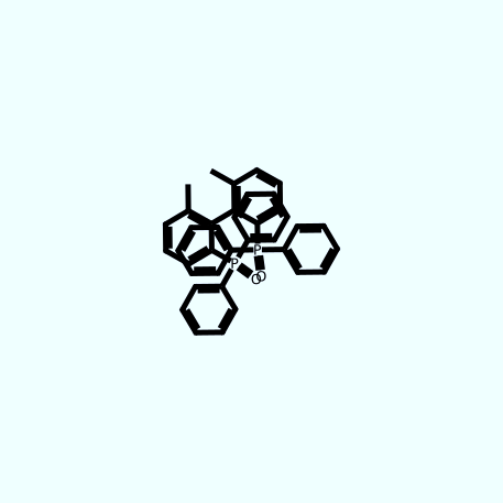 Cc1cccc(P(=O)(c2ccccc2)c2ccccc2)c1-c1c(C)cccc1P(=O)(c1ccccc1)c1ccccc1